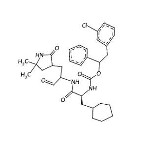 CC1(C)CC(CC(C=O)NC(=O)[C@H](CC2CCCCC2)NC(=O)OC(Cc2cccc(Cl)c2)c2ccccc2)C(=O)N1